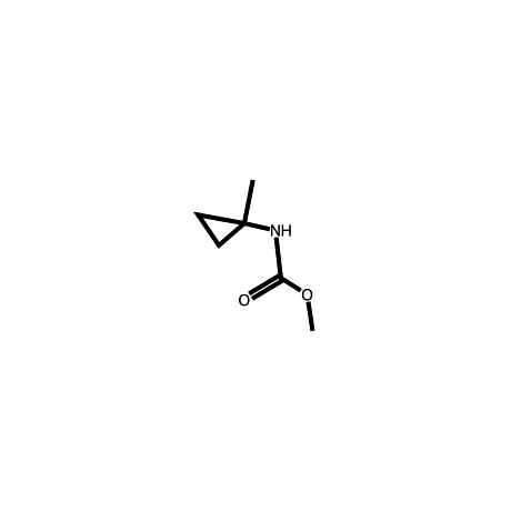 COC(=O)NC1(C)CC1